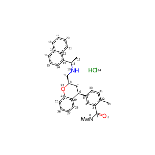 CNC(=O)c1cc([C@@H]2C[C@H](CN[C@H](C)c3cccc4ccccc34)Oc3ccccc32)ccc1C.Cl